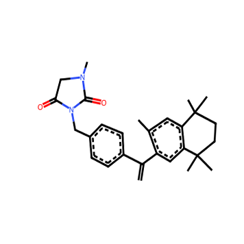 C=C(c1ccc(CN2C(=O)CN(C)C2=O)cc1)c1cc2c(cc1C)C(C)(C)CCC2(C)C